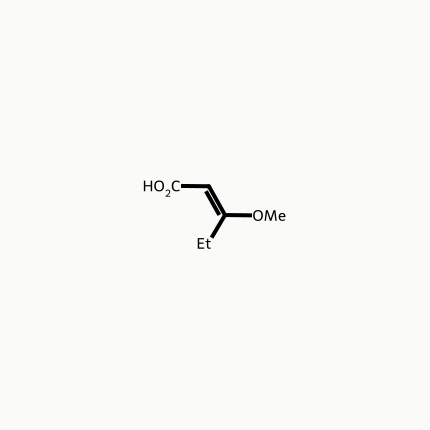 CC/C(=C\C(=O)O)OC